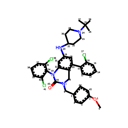 COc1ccc(CN2Cc3c(-c4ccccc4Cl)cc(NC4CCN(C(C)(C)C)CC4)cc3N(c3c(Cl)cccc3Cl)C2=O)cc1